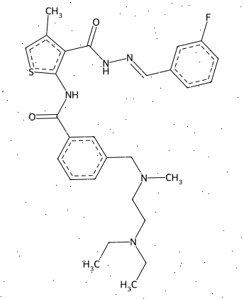 CCN(CC)CCN(C)Cc1cccc(C(=O)Nc2scc(C)c2C(=O)NN=Cc2cccc(F)c2)c1